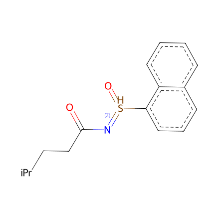 CC(C)CCC(=O)/N=[SH](=O)/c1cccc2ccccc12